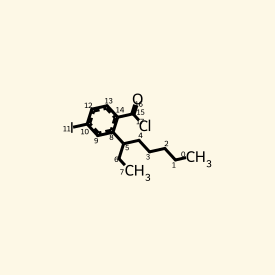 CCCCCC(CC)c1cc(I)ccc1C(=O)Cl